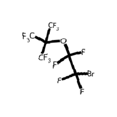 FC(F)(F)C(OC(F)(F)C(F)(F)Br)(C(F)(F)F)C(F)(F)F